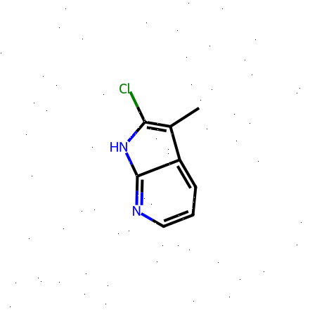 Cc1c(Cl)[nH]c2ncccc12